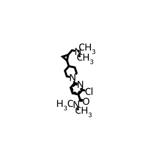 CN(C)CC1CC1C1CCN(c2ccc(C(=O)N(C)C)c(Cl)n2)CC1